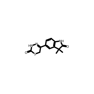 CC1(C)C(=O)Nc2ccc(C3=NNC(=O)SC3)cc21